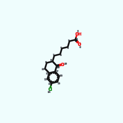 O=C(O)CCCCCC1CCc2cc(Cl)ccc2C1=O